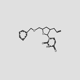 C=CCC1CC(COCc2ccccc2)OC1n1ccc(=O)[nH]c1=O